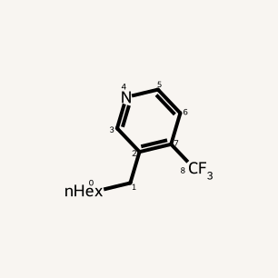 CCCCCCCc1cnccc1C(F)(F)F